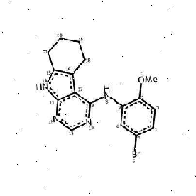 COc1ccc(Br)cc1Nc1ncnc2[nH]c3c(c12)CCCC3